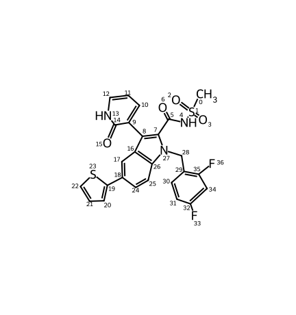 CS(=O)(=O)NC(=O)c1c(-c2ccc[nH]c2=O)c2cc(-c3cccs3)ccc2n1Cc1ccc(F)cc1F